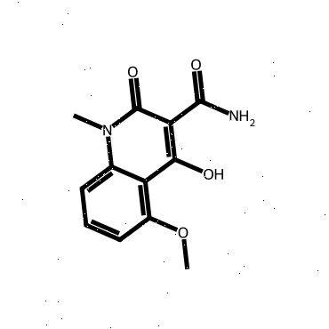 COc1cccc2c1c(O)c(C(N)=O)c(=O)n2C